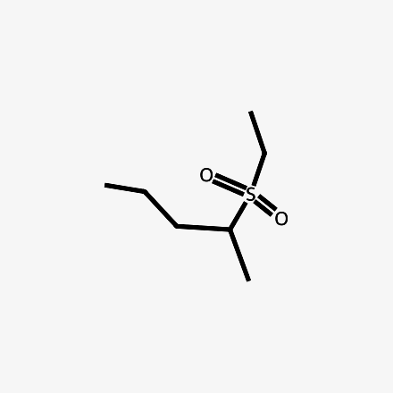 CCCC(C)S(=O)(=O)CC